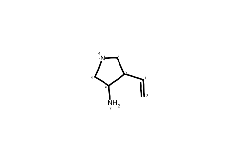 C=CC1C[N]CC1N